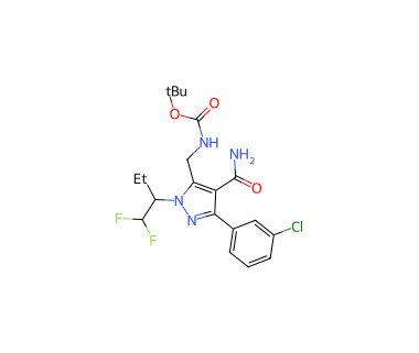 CCC(C(F)F)n1nc(-c2cccc(Cl)c2)c(C(N)=O)c1CNC(=O)OC(C)(C)C